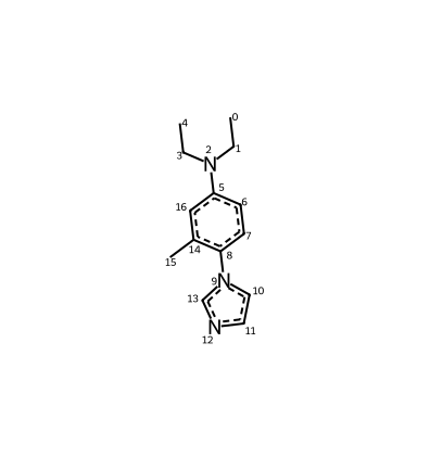 CCN(CC)c1ccc(-n2ccnc2)c(C)c1